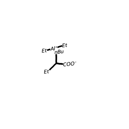 CCCCC(CC)C(=O)[O-].C[CH2][Al+][CH2]C